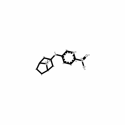 CN1C2CCC1CC(Sc1ccc([N+](=O)[O-])nc1)C2